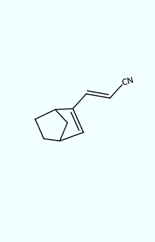 N#CC=CC1=CC2CCC1C2